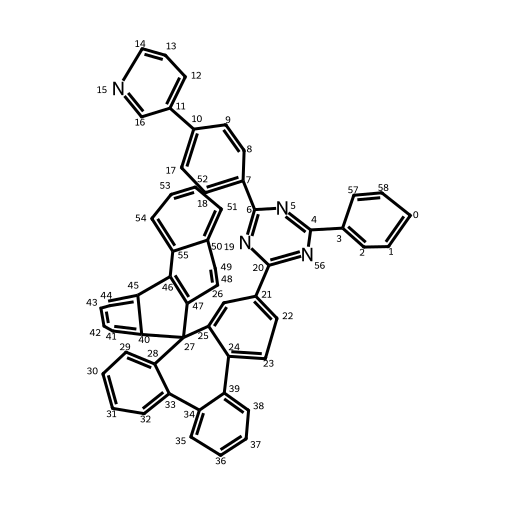 c1ccc(-c2nc(-c3ccc(-c4cccnc4)cc3)nc(-c3ccc4c(c3)C3(c5ccccc5-c5ccccc5-4)c4ccccc4-c4c3ccc3ccccc43)n2)cc1